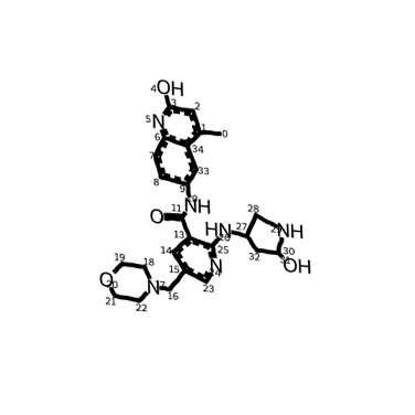 Cc1cc(O)nc2ccc(NC(=O)c3cc(CN4CCOCC4)cnc3NC3CNC(O)C3)cc12